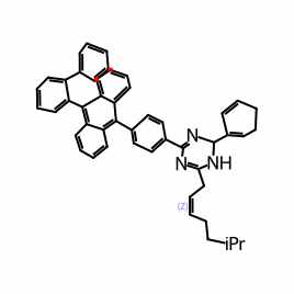 CC(C)CC/C=C\CC1=NC(c2ccc(-c3c4ccccc4c(-c4ccccc4-c4ccccc4)c4ccccc34)cc2)=NC(C2=CCCC=C2)N1